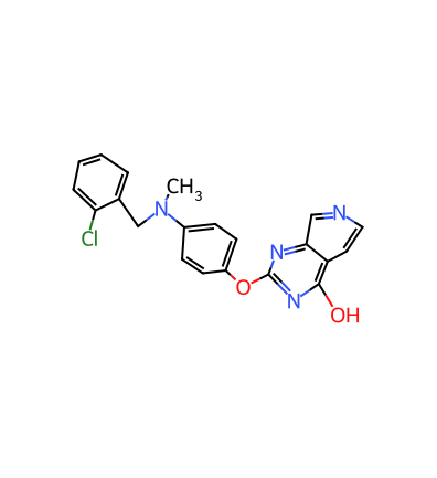 CN(Cc1ccccc1Cl)c1ccc(Oc2nc(O)c3ccncc3n2)cc1